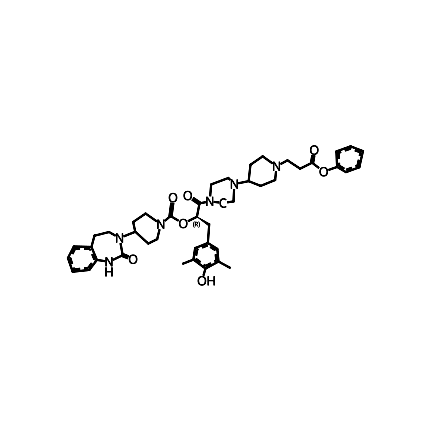 Cc1cc(C[C@@H](OC(=O)N2CCC(N3CCc4ccccc4NC3=O)CC2)C(=O)N2CCN(C3CCN(CCC(=O)Oc4ccccc4)CC3)CC2)cc(C)c1O